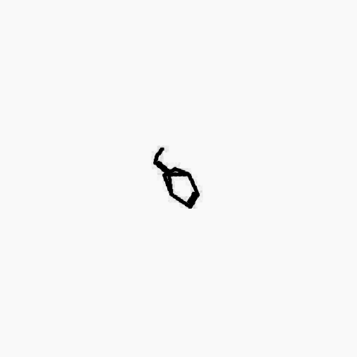 CC=C1C2C=CC1CC2